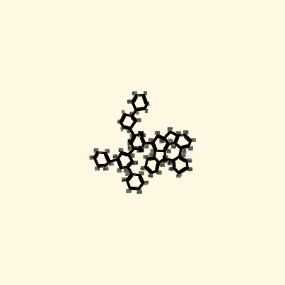 c1ccc(-c2cccc(-c3nc(-c4cc(-c5ccccc5)cc(-c5ccccc5)c4)nc(-c4cc5c6c7c4c4ccccc4n7-c4ccccc4-c4cccc(c4-6)C5)n3)c2)cc1